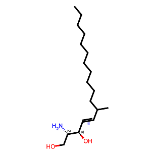 CCCCCCCCCCCC(C)/C=C/[C@@H](O)[C@@H](N)CO